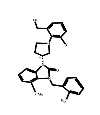 COc1cccc2c1n(Cc1ccccc1C(F)(F)F)c(=O)n2[C@@H]1CCN(c2c(F)cccc2CO)C1